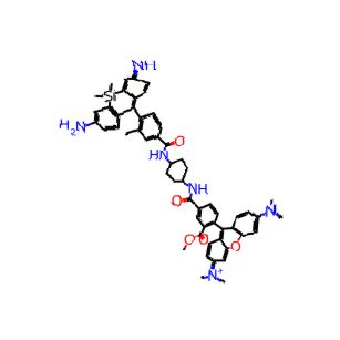 COC(=O)c1cc(C(=O)NC2CCC(NC(=O)c3ccc(C4=C5C=CC(=N)C=C5[Si](C)(C)c5cc(N)ccc54)c(C)c3)CC2)ccc1-c1c2ccc(=[N+](C)C)cc-2oc2cc(N(C)C)ccc12